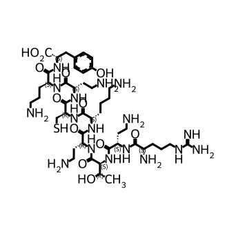 C[C@@H](O)[C@H](NC(=O)[C@H](CCN)NC(=O)[C@@H](N)CCCNC(=N)N)C(=O)N[C@H](CCN)C(=O)N[C@@H](CCCCN)C(=O)N[C@@H](CS)C(=O)N[C@@H](CCN)C(=O)N[C@@H](CCCN)C(=O)N[C@@H](Cc1ccc(O)cc1)C(=O)O